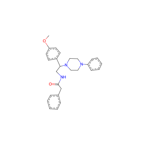 COc1ccc(C(CNC(=O)Cc2ccccc2)N2CCN(c3ccccc3)CC2)cc1